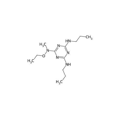 CCCNc1nc(NCCC)nc(N(C)OCC)n1